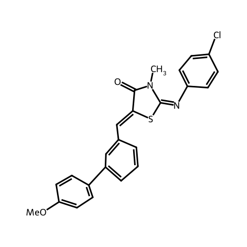 COc1ccc(-c2cccc(/C=C3\S/C(=N/c4ccc(Cl)cc4)N(C)C3=O)c2)cc1